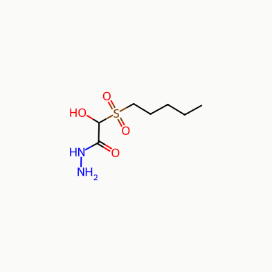 CCCCCS(=O)(=O)C(O)C(=O)NN